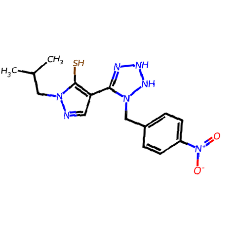 CC(C)Cn1ncc(C2=NNNN2Cc2ccc([N+](=O)[O-])cc2)c1S